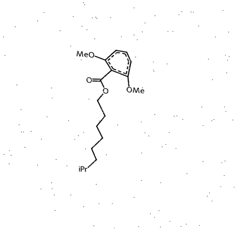 COc1cccc(OC)c1C(=O)OCCCCCCC(C)C